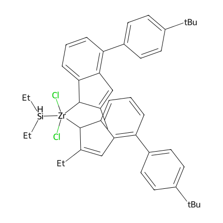 CCC1=Cc2c(-c3ccc(C(C)(C)C)cc3)cccc2[CH]1[Zr]([Cl])([Cl])([CH]1C(C)=Cc2c(-c3ccc(C(C)(C)C)cc3)cccc21)[SiH](CC)CC